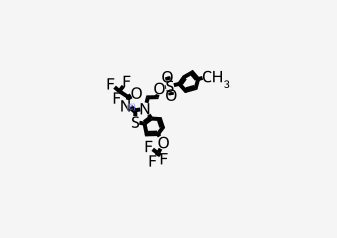 Cc1ccc(S(=O)(=O)OCCn2/c(=N\C(=O)C(F)(F)F)sc3cc(OC(F)(F)F)ccc32)cc1